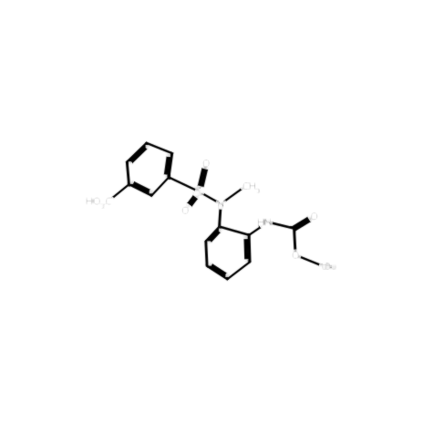 CN(c1ccccc1NC(=O)OC(C)(C)C)S(=O)(=O)c1cccc(C(=O)O)c1